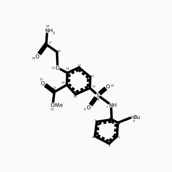 CCCCc1ccccc1NS(=O)(=O)c1ccc(OCC(N)=O)c(C(=O)OC)c1